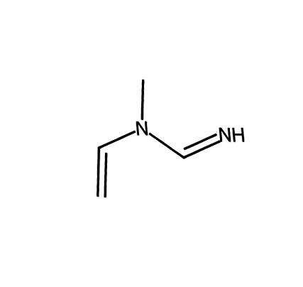 C=CN(C)C=N